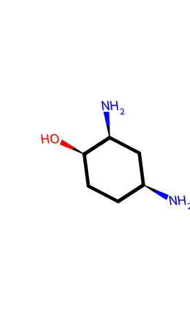 N[C@H]1CC[C@@H](O)[C@@H](N)C1